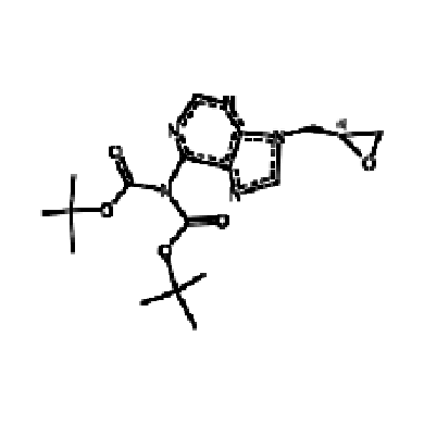 CC(C)(C)OC(=O)N(C(=O)OC(C)(C)C)c1ncnc2c1ncn2C[C@H]1CO1